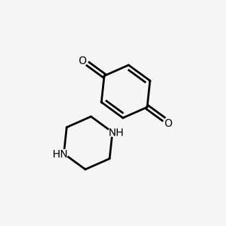 C1CNCCN1.O=C1C=CC(=O)C=C1